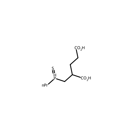 CCC[PH](=S)CC(CCC(=O)O)C(=O)O